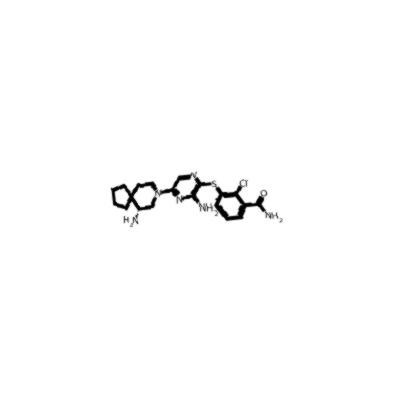 NC(=O)c1cccc(Sc2ncc(N3CCC4(CCCC4)[C@@H](N)C3)nc2N)c1Cl